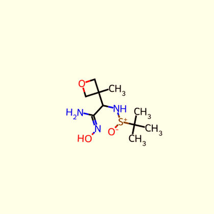 CC1(C(N[S+]([O-])C(C)(C)C)/C(N)=N/O)COC1